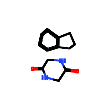 O=C1CNC(=O)CN1.c1ccc2c(c1)CCC2